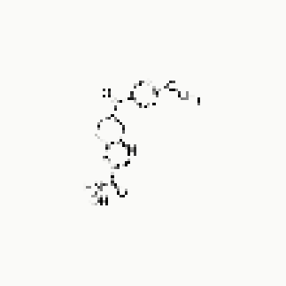 COc1ccc(C(=O)N2CCc3cc(C(=O)NO)cnc3C2)cc1